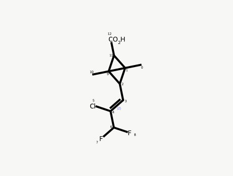 CC12C(/C=C(\Cl)C(F)F)C1(C)C2C(=O)O